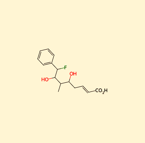 CC(C(O)C/C=C/C(=O)O)C(O)C(F)c1ccccc1